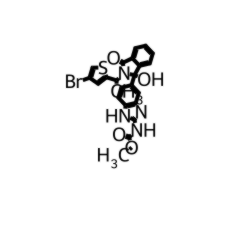 COC(=O)Nc1nc2cc(C3(O)c4ccccc4C(=O)N3C(C)c3cc(Br)cs3)ccc2[nH]1